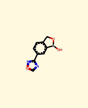 OB1OCc2ccc(-c3ncon3)cc21